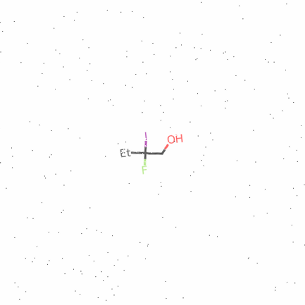 CCC(F)(I)CO